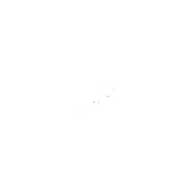 O=C(O)CC(=O)C=Cc1ccc2c(c1)OC(F)(F)O2